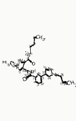 C=CCCCNC(=O)c1nn(C)cc1NC(=O)c1cccc(-c2cnn(CC=C)c2)n1